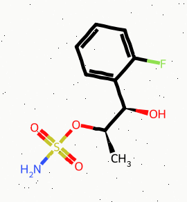 C[C@@H](OS(N)(=O)=O)[C@H](O)c1ccccc1F